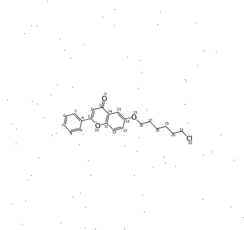 O=c1cc(-c2ccccc2)oc2ccc(OCCCCCCCl)cc12